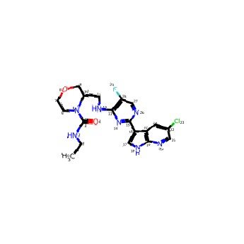 CCNC(=O)N1CCOCC1CNc1nc(-c2c[nH]c3ncc(Cl)cc23)ncc1F